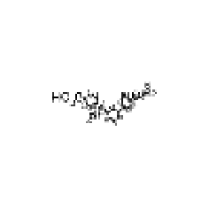 O=C(O)c1cnc(COc2cccc(-c3ccc(OCC4CC4)nc3)c2)c(C2CC2)c1